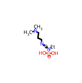 CC[N+](=C=NCCCN(C)C)P(=O)(O)O